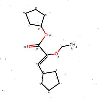 CCOC(=CC1CCCC1)C(=O)OC1CCCC1